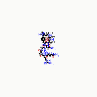 CC(C)C[C@H](NC(=O)[C@H](CCCNC(=N)N)NC(=O)[C@@H](N)CCC(N)=O)C(=O)N[C@@H](C)C(=O)N[C@@H](CC(N)=O)C(=O)N[C@@H](Cc1ccccc1)C(=O)N[C@@H](CC(C)C)C(=O)N[C@H](C(=O)N[C@H]([C]=O)Cc1c[nH]cn1)C(C)C